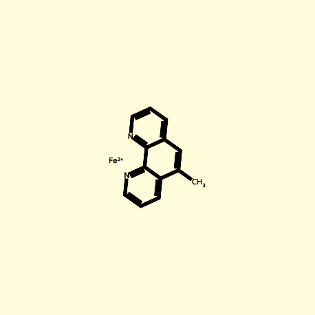 Cc1cc2cccnc2c2ncccc12.[Fe+2]